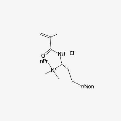 C=C(C)C(=O)NC(CCCCCCCCCCC)[N+](C)(C)CCC.[Cl-]